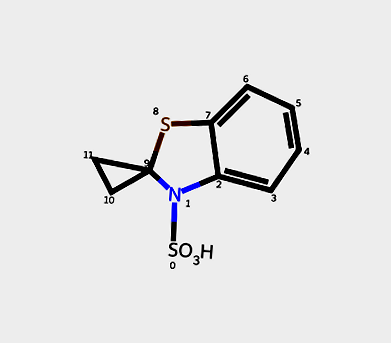 O=S(=O)(O)N1c2ccccc2SC12CC2